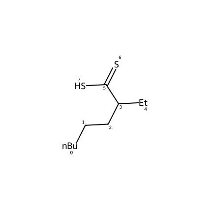 CCCCCCC(CC)C(=S)S